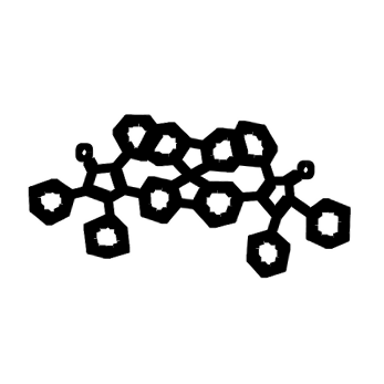 O=C1C(c2ccccc2)=C(c2ccccc2)C(c2ccc3c(c2)C2(c4ccccc4-c4ccccc42)c2cc(C4=C(c5ccccc5)C(=O)C(c5ccccc5)=C4c4ccccc4)ccc2-3)=C1c1ccccc1